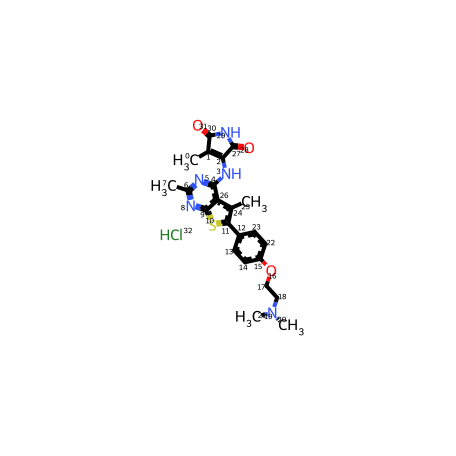 CC1=C(Nc2nc(C)nc3sc(-c4ccc(OCCN(C)C)cc4)c(C)c23)C(=O)NC1=O.Cl